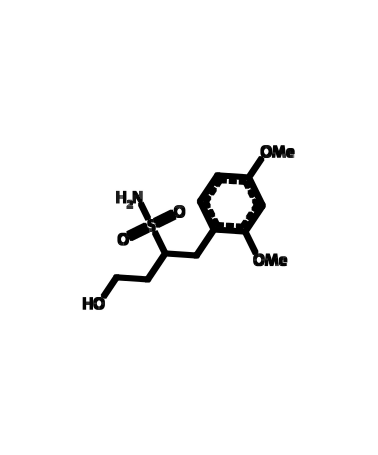 COc1ccc(CC(CCO)S(N)(=O)=O)c(OC)c1